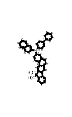 CC1(C)c2ccccc2-c2cc3ccc4cc(N(c5ccc(-c6ccccc6)cc5)c5ccc6ccccc6c5)ccc4c3cc21